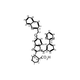 O=C(O)[C@H]1CCCC[C@H]1c1nc2cc(OCc3ccc4ccccc4n3)ccc2n1Cc1cccc(-c2ncccn2)c1